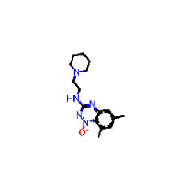 Cc1cc(C)c2c(c1)nc(NCCN1CCCCC1)n[n+]2[O-]